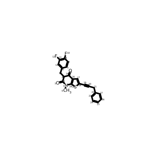 CN1C(=O)C(Cc2ccc(F)c(F)c2)C(=O)c2cc(C#CCc3ccccc3)sc21